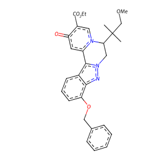 CCOC(=O)c1cn2c(cc1=O)-c1c3cccc(OCc4ccccc4)c3nn1CC2C(C)(C)COC